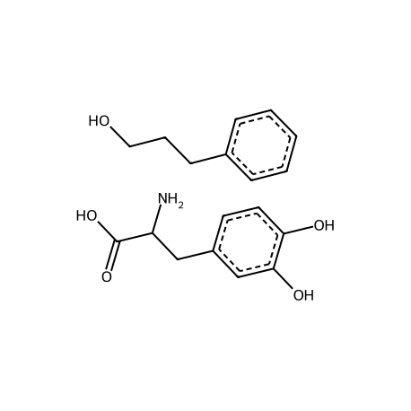 NC(Cc1ccc(O)c(O)c1)C(=O)O.OCCCc1ccccc1